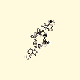 Nc1ncnc2c1ncn2[C@@H]1O[C@@H]2CO[P@@](=O)(S)O[C@H]3[C@@H](F)[C@H](n4cnc5c(N)ncnc54)O[C@@H]3COP(=O)(O)O[C@H]2[C@H]1F